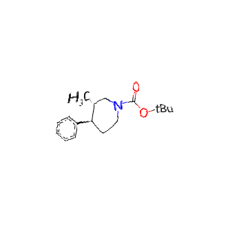 C[C@@H]1CN(C(=O)OC(C)(C)C)CC[C@H]1c1ccccc1